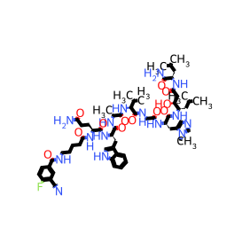 CC(C)C[C@H](NC(=O)C[C@H](O)[C@H](CC(C)C)NC(=O)[C@H](Cc1cncn1C)NC(=O)CNC(=O)[C@@H](NC(=O)[C@H](C)NC(=O)[C@H](Cc1c[nH]c2ccccc12)NC(=O)[C@H](CCC(N)=O)NC(=O)CCCCNC(=O)c1ccc(F)c(C#N)c1)C(C)C)C(N)=O